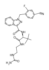 CC(C)(C)[C@H](NC(=O)c1nn(Cc2ccc(C#N)cc2F)c2ccccc12)C(=O)NCCNC(N)=O